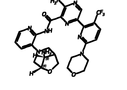 Nc1ncc(-c2nc(N3CCOCC3)ccc2C(F)(F)F)nc1C(=O)Nc1ncccc1N1CC2CO[C@H](C1)[C@H]2N